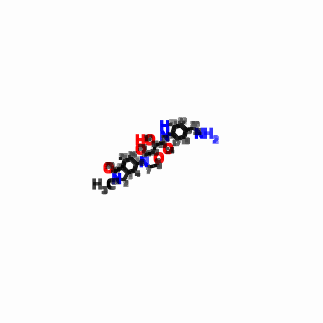 CN1Cc2cc(N3CCOC(C(O)C(=O)Nc4ccc(CN)cc4)C3=O)ccc2C1=O